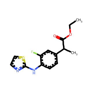 CCOC(=O)C(C)c1ccc(Nc2nccs2)c(F)c1